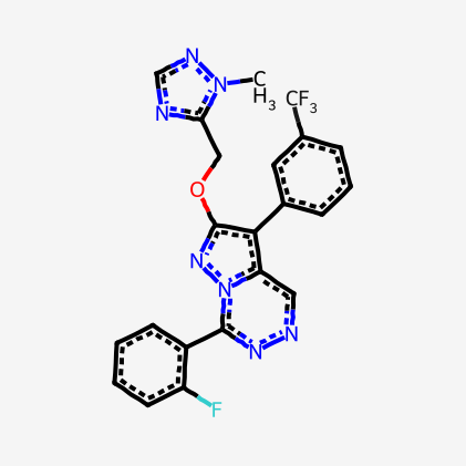 Cn1ncnc1COc1nn2c(-c3ccccc3F)nncc2c1-c1cccc(C(F)(F)F)c1